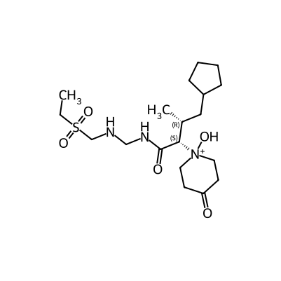 CCS(=O)(=O)CNCNC(=O)[C@H]([C@H](C)CC1CCCC1)[N+]1(O)CCC(=O)CC1